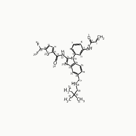 C=CC(=O)Nc1cccc(-n2c(NC(=O)c3ccc(C(F)F)s3)nc3cc(CNCC(C)(C)C)ccc32)c1